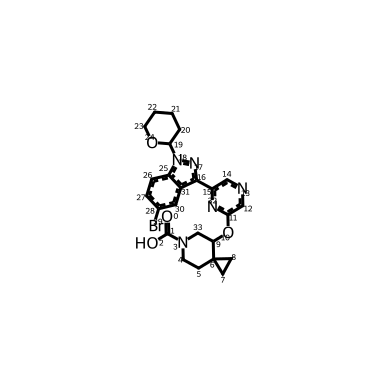 O=C(O)N1CCC2(CC2)C(Oc2cncc(-c3nn(C4CCCCO4)c4ccc(Br)cc34)n2)C1